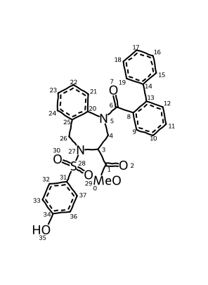 COC(=O)C1CN(C(=O)c2ccccc2-c2ccccc2)c2ccccc2CN1S(=O)(=O)c1ccc(O)cc1